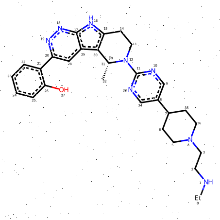 CCNCCN1CCC(c2cnc(N3CCc4[nH]c5nnc(-c6ccccc6O)cc5c4[C@H]3C)nc2)CC1